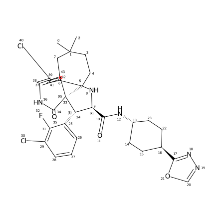 CC1(C)CCC2(CC1)N[C@@H](C(=O)N[C@H]1CC[C@H](c3nnco3)CC1)[C@H](c1cccc(Cl)c1F)[C@]21C(=O)Nc2cc(Cl)ccc21